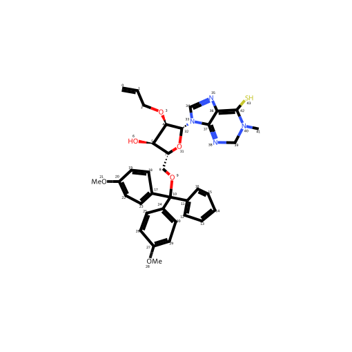 C=CCO[C@@H]1[C@H](O)[C@@H](COC(c2ccccc2)(c2ccc(OC)cc2)c2ccc(OC)cc2)O[C@H]1n1cnc2c1=NCN(C)C=2S